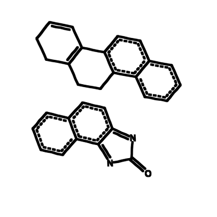 C1=CC2=C(CC1)CCc1c2ccc2ccccc12.O=C1N=c2ccc3ccccc3c2=N1